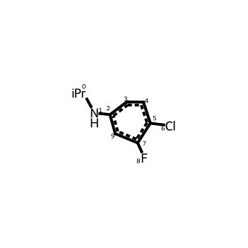 CC(C)Nc1ccc(Cl)c(F)c1